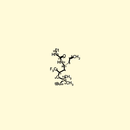 C=CC[C@H](CC(O[Si](C)(C)C(C)(C)C)C(F)(F)F)NC(=O)NCC